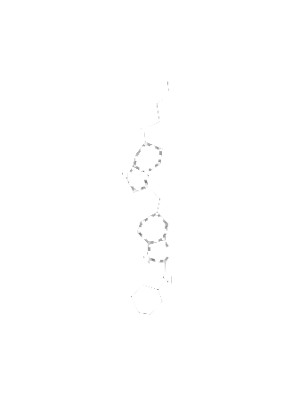 COCCOc1ccn2c(Cc3ccc4nc(NC5CCCCC5)sc4c3)cnc2c1